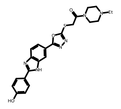 CCN1CCN(C(=O)CSc2nnc(-c3ccc4nc(-c5ccc(O)cc5)[nH]c4c3)o2)CC1